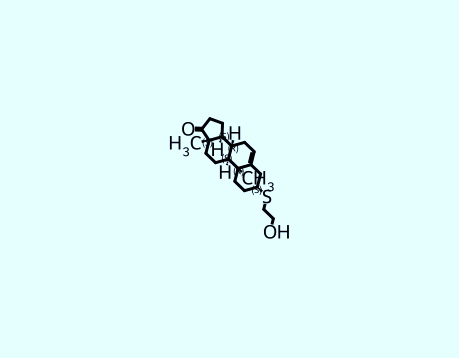 C[C@]12CC[C@H](SCCO)CC1=CC[C@@H]1[C@@H]2CC[C@]2(C)C(=O)CC[C@@H]12